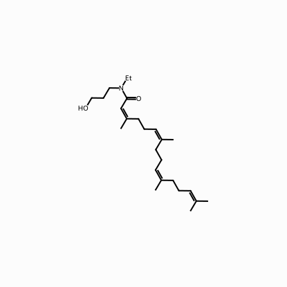 CCN(CCCO)C(=O)C=C(C)CCC=C(C)CCC=C(C)CCC=C(C)C